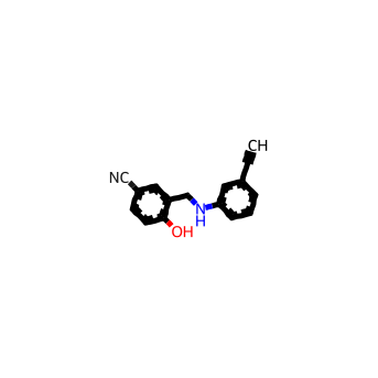 C#Cc1cccc(NCc2cc(C#N)ccc2O)c1